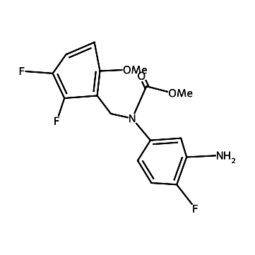 COC(=O)N(Cc1c(OC)ccc(F)c1F)c1ccc(F)c(N)c1